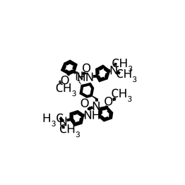 CCOc1ccccc1N(C[C@H]1CC[C@H](CN(C(=O)Nc2ccc(N(C)C)cc2)c2ccccc2OCC)CC1)C(=O)Nc1ccc(N(C)C)cc1